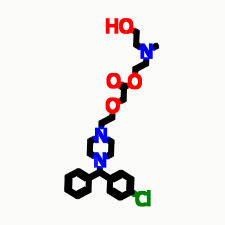 CN(CCO)CCOC(=O)COCCN1CCN(C(c2ccccc2)c2ccc(Cl)cc2)CC1